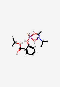 CCOP(=S)(ONC(C)C)Oc1ccccc1C(=O)OC(C)C